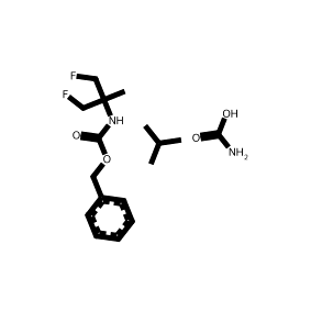 CC(C)C.CC(CF)(CF)NC(=O)OCc1ccccc1.NC(=O)O